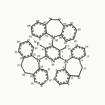 Fc1c(N2c3ccccc3CCc3ccccc32)nc(N2c3ccccc3CCc3ccccc32)c(F)c1N1c2ccccc2CCc2ccccc21